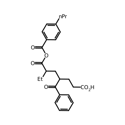 CCCc1ccc(C(=O)OC(=O)C(CC)CC(CCC(=O)O)C(=O)c2ccccc2)cc1